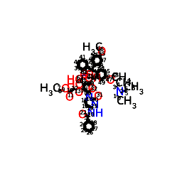 CCN(CC)CC.CCOC(=O)CO[C@H]1[C@H](n2ccc(NC(=O)c3ccccc3)nc2=O)O[C@H](COC(c2ccccc2)(c2ccc(OC)cc2)c2ccc(OC)cc2)[C@]1(O)P(=O)(O)O